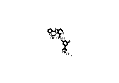 Cn1cc(-c2cc(F)cc(CNC(=O)c3nccc4nc(C5CCCC5)n(CC(=O)O)c34)c2)cn1